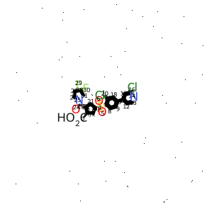 O=C(O)[C@@H]1C[C@H](S(=O)(=O)c2ccc(-c3ccnc(Cl)c3)cc2Cl)C[C@H]1C(=O)N1CCC(F)(F)C1